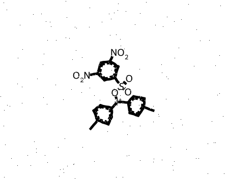 Cc1ccc([I+](OS(=O)(=O)c2cc([N+](=O)[O-])cc([N+](=O)[O-])c2)c2ccc(C)cc2)cc1